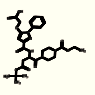 CCOC(=O)N1CCN(C(=O)C(CC(=O)OC(C)(C)C)NC(=O)c2cc(OCC(=O)O)n(-c3ccccc3)n2)CC1